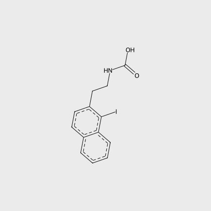 O=C(O)NCCc1ccc2ccccc2c1I